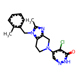 Cc1ccccc1Cn1c(C)nc2c1CCN(c1cn[nH]c(=O)c1Cl)C2